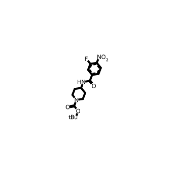 CC(C)(C)OC(=O)N1CCC(NC(=O)c2ccc([N+](=O)[O-])c(F)c2)CC1